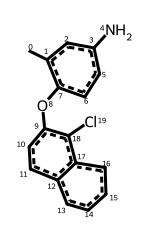 Cc1cc(N)ccc1Oc1ccc2ccccc2c1Cl